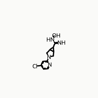 N=C(NO)C1C2CN(c3cc(Cl)ccn3)CC21